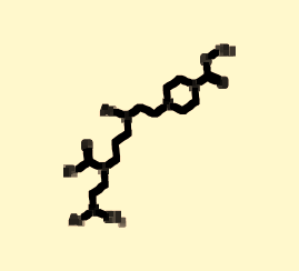 CC(=O)N(C)CCN(CCCN(CCN1CCN(C(=O)OC(C)(C)C)CC1)C(C)=O)C(=O)C(C)C